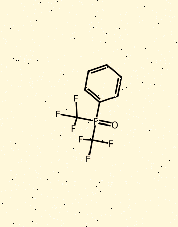 O=P(c1ccccc1)(C(F)(F)F)C(F)(F)F